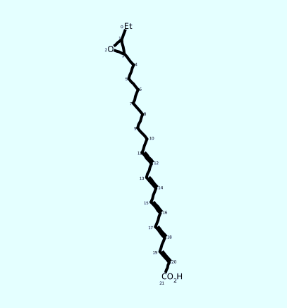 CCC1OC1CCCCCCCC=CC=CC=CC=CC=CC(=O)O